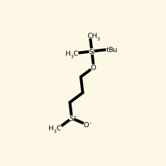 C[S+]([O-])CCCO[Si](C)(C)C(C)(C)C